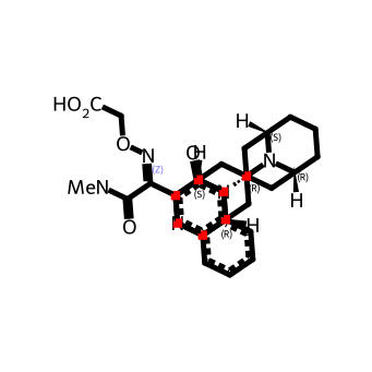 CNC(=O)/C(=N\OCC(=O)O)c1nc2ccccc2n([C@H]2C[C@H]3CCC[C@@H](C2)N3C2C[C@H]3CCC[C@@H](C2)C3)c1=O